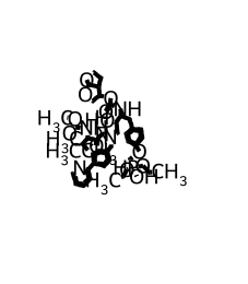 CCO[PH](O)(COc1ccc(CC(NC(=O)OC2COC3OCCC23)C(O)CN(Cc2ccc(-c3ccccn3)cc2)NC(=O)C(NC(=O)OC)C(C)(C)C)cc1)OCC